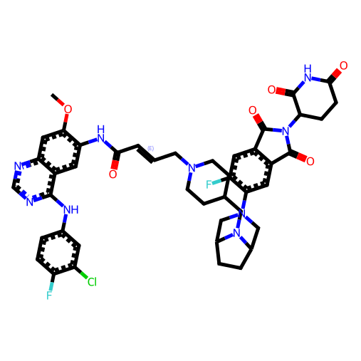 COc1cc2ncnc(Nc3ccc(F)c(Cl)c3)c2cc1NC(=O)/C=C/CN1CCC(CN2C3CCC2CN(c2cc4c(cc2F)C(=O)N(C2CCC(=O)NC2=O)C4=O)C3)CC1